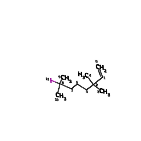 C=CC(C)(C)CCCC(C)(C)I